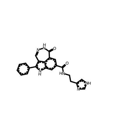 O=C(NCCc1c[nH]cn1)c1cc2c3c(c(-c4ccccc4)[nH]c3c1)C=NNC2=O